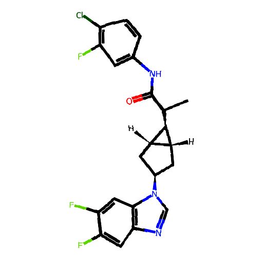 CC(C(=O)Nc1ccc(Cl)c(F)c1)[C@H]1[C@@H]2C[C@@H](n3cnc4cc(F)c(F)cc43)C[C@@H]21